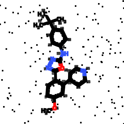 COc1ccc(-c2nnc(Nc3ccc(C(C)(C)C)cc3)o2)c(-c2ccncc2)c1